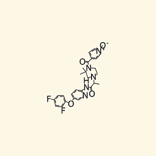 CC(C(=O)Nc1ccc(Oc2ccc(F)cc2F)cn1)N1CCN(C(=O)c2cc[n+]([O-])cc2)C(C)(C)C1